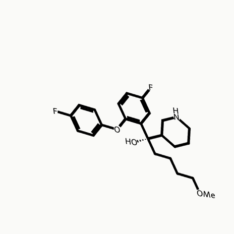 COCCCC[C@@](O)(c1cc(F)ccc1Oc1ccc(F)cc1)C1CCCNC1